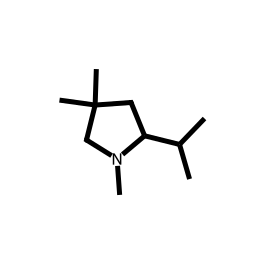 CC(C)C1CC(C)(C)CN1C